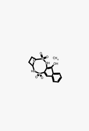 C.O=S1(=O)NC2CCC(N2)S(=O)(=O)Nc2c1cc1ccccc1c2O